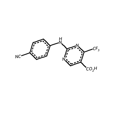 N#Cc1ccc(Nc2ncc(C(=O)O)c(C(F)(F)F)n2)cc1